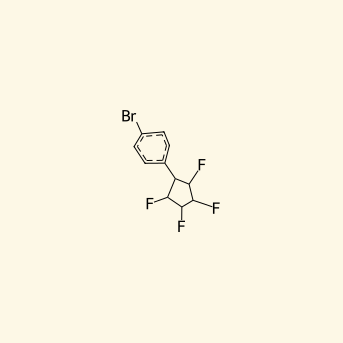 FC1C(F)C(F)C(c2ccc(Br)cc2)C1F